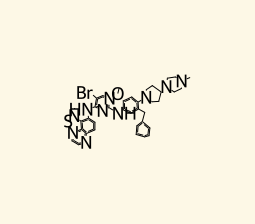 COc1cc(N2CCC(N3CCN(C)CC3)CC2)c(Cc2ccccc2)cc1Nc1ncc(Br)c(Nc2ccc3nccnc3c2N(C)SC)n1